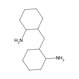 NC1CCCCC1CC1CCCCC1N